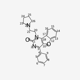 O=c1nc(-c2ccccc2)c2oc3ccccc3c2n1CCN1CCCC1